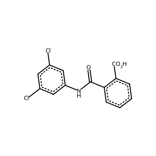 O=C(O)c1ccccc1C(=O)Nc1cc(Cl)cc(Cl)c1